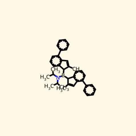 CC1=Cc2c(-c3ccccc3)cccc2C1B(C1C(C)=Cc2c(-c3ccccc3)cccc21)N(C(C)C)C(C)C